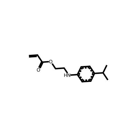 C=CC(=O)OCCNc1ccc(C(C)C)cc1